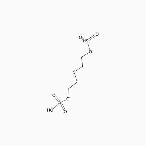 O=[SH](=O)OCCSCCOS(=O)(=O)O